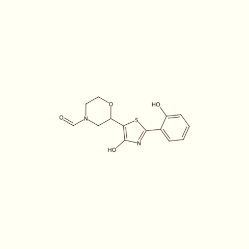 O=CN1CCOC(c2sc(-c3ccccc3O)nc2O)C1